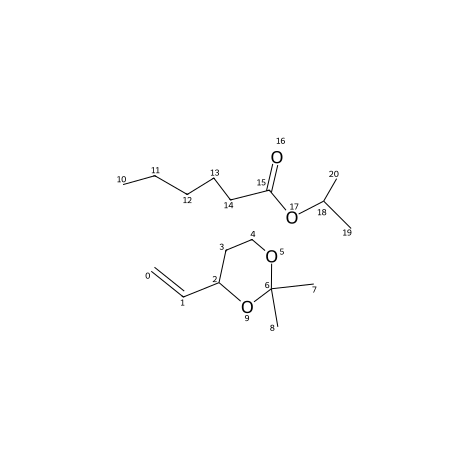 C=CC1CCOC(C)(C)O1.CCCCCC(=O)OC(C)C